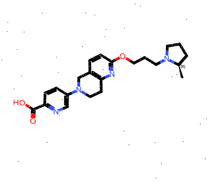 C[C@@H]1CCCN1CCCOc1ccc2c(n1)CCN(c1ccc(C(=O)O)nc1)C2